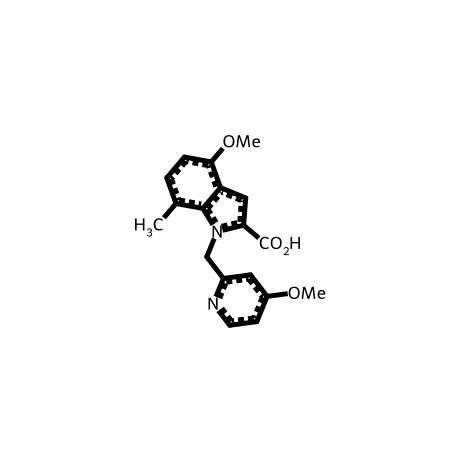 COc1ccnc(Cn2c(C(=O)O)cc3c(OC)ccc(C)c32)c1